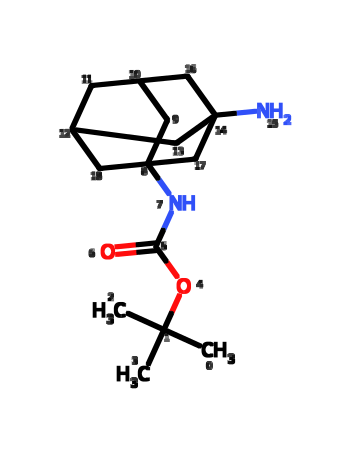 CC(C)(C)OC(=O)NC12CC3CC(CC(N)(C3)C1)C2